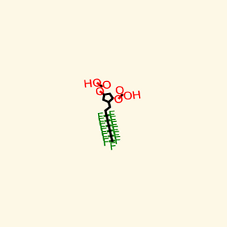 O=C(O)OC1CC(CCC(F)(F)C(F)(F)C(F)(F)C(F)(F)C(F)(F)C(F)(F)F)C(OC(=O)O)C1